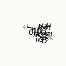 O=C(NCCCC(O)(P(=O)(O)O)P(=O)(O)O)N[N+](=O)CCCl.[NaH].[NaH].[NaH]